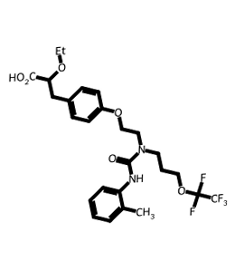 CCOC(Cc1ccc(OCCN(CCCOC(F)(F)C(F)(F)F)C(=O)Nc2ccccc2C)cc1)C(=O)O